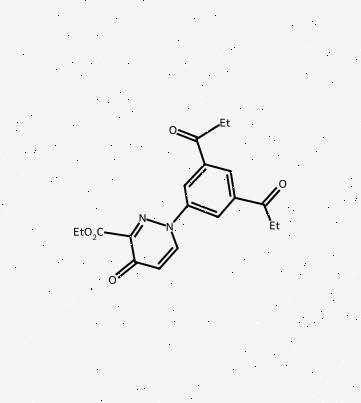 CCOC(=O)c1nn(-c2cc(C(=O)CC)cc(C(=O)CC)c2)ccc1=O